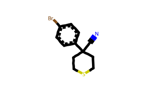 N#CC1(c2ccc(Br)cc2)CCSCC1